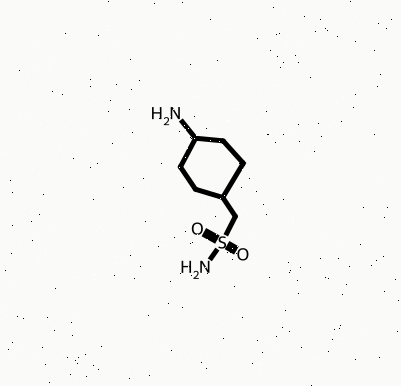 NC1CCC(CS(N)(=O)=O)CC1